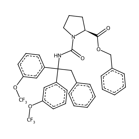 O=C(OCc1ccccc1)[C@@H]1CCCN1C(=O)NC(Cc1ccccc1)(c1cccc(OC(F)(F)F)c1)c1cccc(OC(F)(F)F)c1